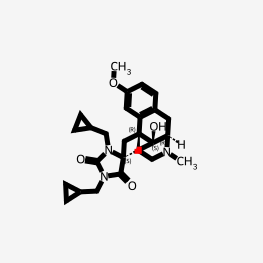 COc1ccc2c(c1)[C@]13CCN(C)[C@H](C2)[C@]1(O)CC[C@]1(C3)C(=O)N(CC2CC2)C(=O)N1CC1CC1